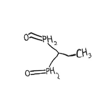 CC([PH2]=O)[PH2]=O